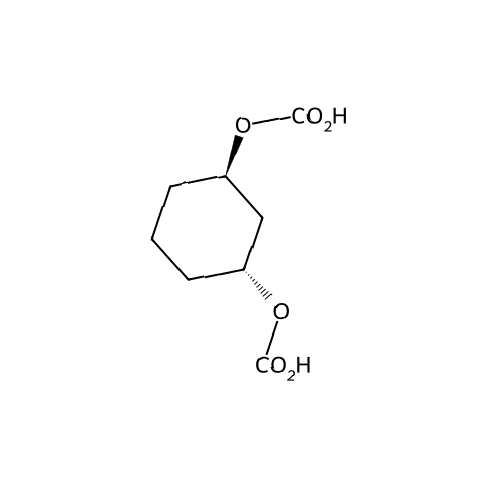 O=C(O)O[C@@H]1CCC[C@@H](OC(=O)O)C1